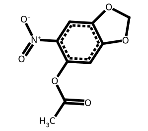 CC(=O)Oc1cc2c(cc1[N+](=O)[O-])OCO2